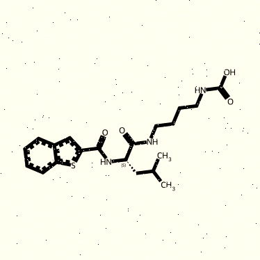 CC(C)C[C@H](NC(=O)c1cc2ccccc2s1)C(=O)NCCCCNC(=O)O